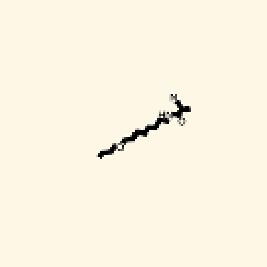 C=C(C#N)C(=O)NCCCCCCCCOCCCC